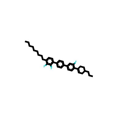 CCCCCCCCCc1ccc(-c2ccc(-c3ccc(C4=CCC(CCC)CC4)c(F)c3)cc2)c(F)c1F